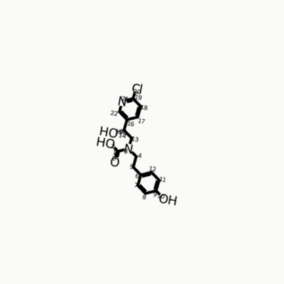 O=C(O)N(CCc1ccc(O)cc1)C[C@H](O)c1ccc(Cl)nc1